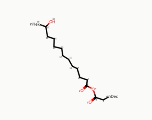 CCCCCCCCCCCC(=O)OC(=O)CCCCCCCCCCC(O)CCCCCC